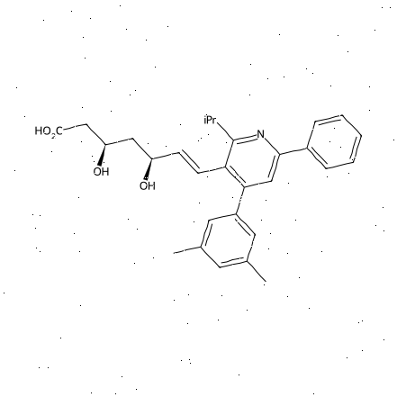 Cc1cc(C)cc(-c2cc(-c3ccccc3)nc(C(C)C)c2/C=C/[C@@H](O)C[C@@H](O)CC(=O)O)c1